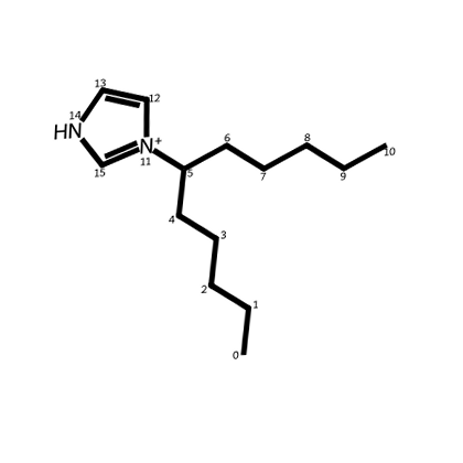 CCCCCC(CCCCC)[n+]1cc[nH]c1